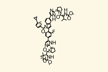 [2H]C(C)(C)C(NC(=O)OC)C(=O)N1CCC[C@H]1c1ncc(-c2cc(F)c3c(c2)OC(c2ccc(C4CC4)s2)n2c-3cc3cc(-c4cnc([C@@H]5CCCN5C(=O)[C@@H](NC(=O)OC)C(C)C)[nH]4)ccc32)[nH]1